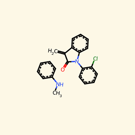 C=C1C(=O)N(c2ccccc2Cl)c2ccccc21.CNc1ccccc1